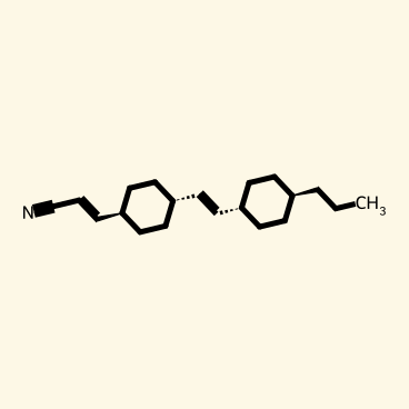 CCC[C@H]1CC[C@H](C=C[C@H]2CC[C@H](C=CC#N)CC2)CC1